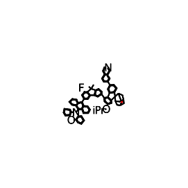 CC(C)Oc1cc(-c2ccc3c(c2)-c2cc(-c4c5ccccc5c(N5c6ccccc6Oc6ccccc65)c5ccccc45)cc(F)c2C3(C)C)c2c(c1)C1(c3ccc(-c4ccc5ccncc5c4)cc3-2)C2CC3CC(C2)CC1C3